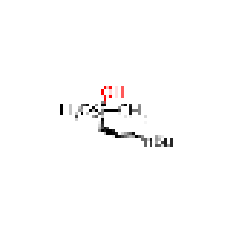 CCCCC/C=C\[Si](C)(C)O